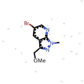 COCc1nn(C)c2ncc(Br)cc12